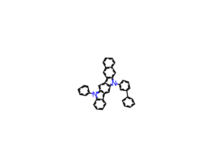 c1ccc(-c2cccc(-n3c4cc5ccccc5cc4c4cc5c(cc43)c3ccccc3n5-c3ccccc3)c2)cc1